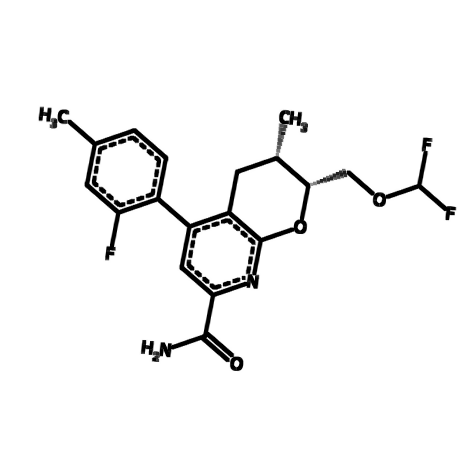 Cc1ccc(-c2cc(C(N)=O)nc3c2C[C@H](C)[C@H](COC(F)F)O3)c(F)c1